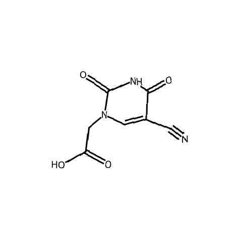 N#Cc1cn(CC(=O)O)c(=O)[nH]c1=O